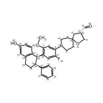 COc1cc(N2CCC3(CC2)C[C@H](C=O)CO3)c(F)cc1[C@@H]1c2ccc(O)cc2CC[C@@H]1c1ccccc1